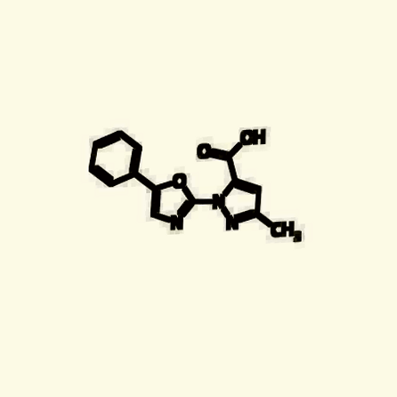 Cc1cc(C(=O)O)n(-c2ncc(-c3ccccc3)o2)n1